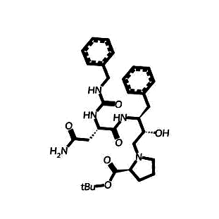 CC(C)(C)OC(=O)[C@@H]1CCCN1C[C@@H](O)[C@H](Cc1ccccc1)NC(=O)[C@H](CC(N)=O)NC(=O)NCc1ccccc1